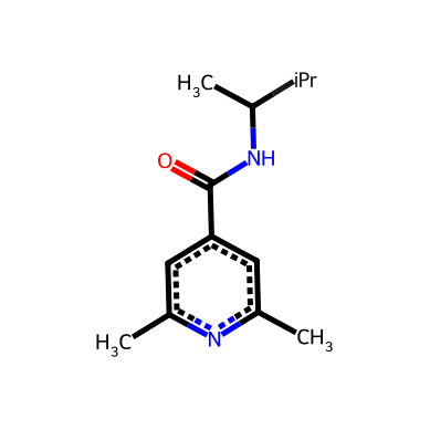 Cc1cc(C(=O)NC(C)C(C)C)cc(C)n1